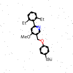 CCc1cccc(CC)c1-c1cc(OC)c(COc2ccc(C(C)(C)C)cc2)cn1